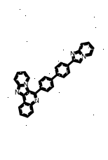 c1ccc2c(c1)nc(-c1ccc(-c3ccc(-c4cn5ccccc5n4)cc3)cc1)c1c2nc2ccccn21